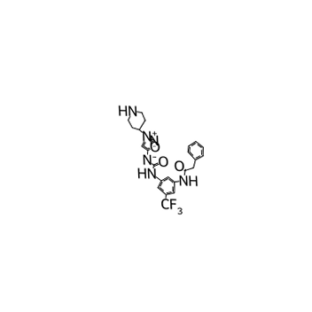 O=C(Cc1ccccc1)Nc1cc(NC(=O)[N-]c2c[n+](C3CCNCC3)no2)cc(C(F)(F)F)c1